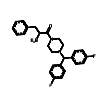 NC(Cc1ccccc1)C(=O)N1CCN(C(c2ccc(F)cc2)c2ccc(F)cc2)CC1